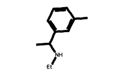 C[CH]NC(C)c1cccc(C)c1